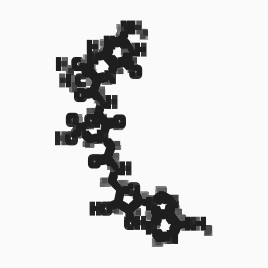 CC1(C)Nc2nc(N)[nH]c(=O)c2N=C1C(=O)NCC(=O)N(CC(=O)NC[C@H]1O[C@@H](n2cnc3c(N)ncnc32)C(O)C1O)CP(=O)(O)O